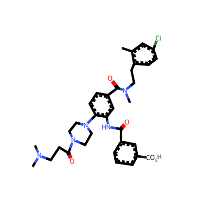 Cc1cc(Cl)ccc1CCN(C)C(=O)c1ccc(N2CCN(C(=O)CCN(C)C)CC2)c(NC(=O)c2cccc(C(=O)O)c2)c1